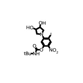 CC(C)(C)NC(=O)Oc1cc(N2CC(O)C(O)C2)c(I)cc1[N+](=O)[O-]